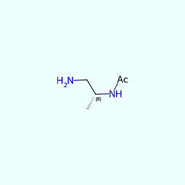 CC(=O)N[C@H](C)CN